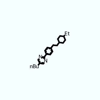 CCCCc1cnc(-c2ccc(CCC3CCC(CC)CC3)cc2)nc1